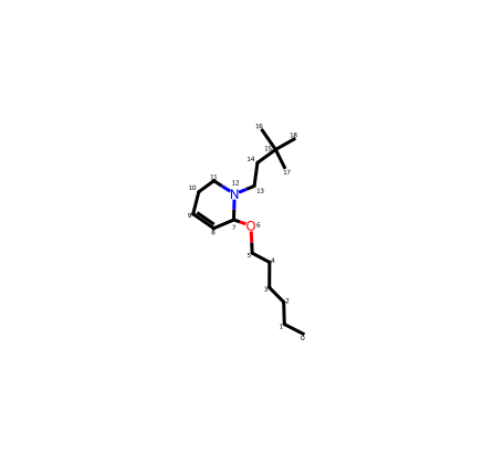 CCCCCCOC1C=CCCN1CCC(C)(C)C